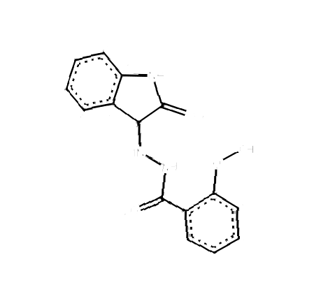 COc1ccccc1C(=O)NNC1C(=O)Nc2ccccc21